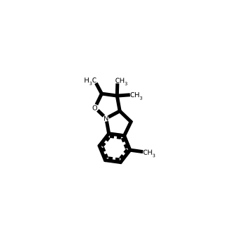 Cc1cccc2c1CC1N2OC(C)C1(C)C